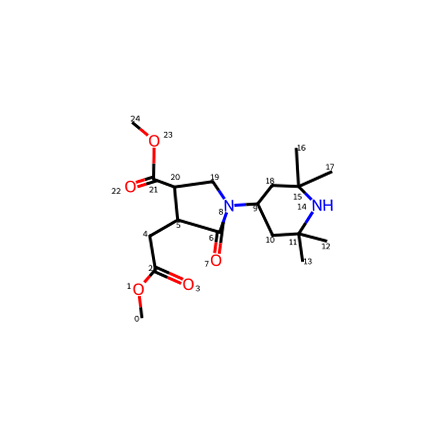 COC(=O)CC1C(=O)N(C2CC(C)(C)NC(C)(C)C2)CC1C(=O)OC